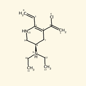 C=CC1=C(C(=C)Cl)C[C@@H]([SiH](CC)CC)CN1